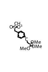 CO[Si](CCc1ccc(CS(C)(=O)=O)cc1)(OC)OC